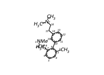 CNC.Cc1cccc(C)c1-c1cccc(CCN(C)C)c1